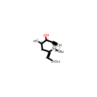 C#CC(O)C(CCC)C[C](=CCCCCCCCC)[SnH2][CH2]CCC